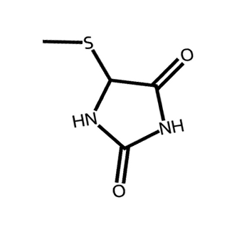 CSC1NC(=O)NC1=O